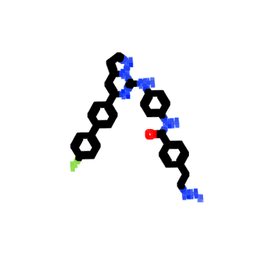 NCCc1ccc(C(=O)Nc2ccc(Nc3nc(-c4ccc(-c5ccc(F)cc5)cc4)cc4ccnn34)cc2)cc1